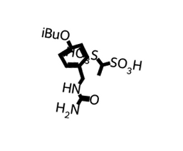 CC(C)COc1ccc(CNC(N)=O)cc1.CC(S(=O)(=O)O)S(=O)(=O)O